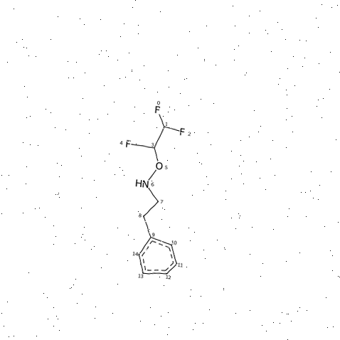 FC(F)C(F)ONCCc1ccccc1